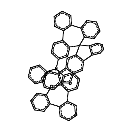 c1ccc(N(c2ccc3c(c2)C2(c4ccccc4-c4ccccc4-3)c3ccccc3-c3cc4oc5ccccc5c4cc32)c2cccc3c2Oc2ccccc2-c2ccccc2-3)cc1